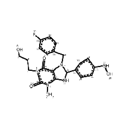 Cn1c2c(c(=O)n(CCCO)c1=O)N(Cc1ccc(F)cc1)C(c1ccc(BO)cc1)N2